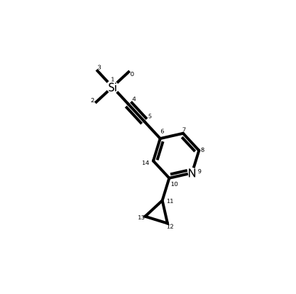 C[Si](C)(C)C#Cc1ccnc(C2CC2)c1